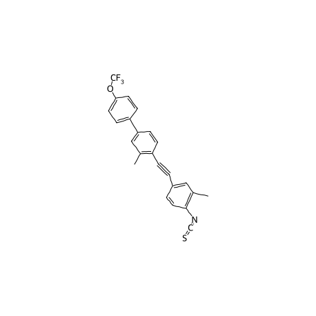 Cc1cc(-c2ccc(OC(F)(F)F)cc2)ccc1C#Cc1ccc(N=C=S)c(C)c1